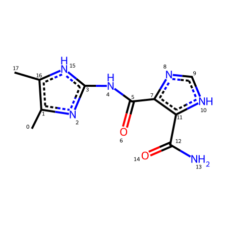 Cc1nc(NC(=O)c2nc[nH]c2C(N)=O)[nH]c1C